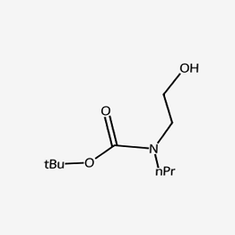 CCCN(CCO)C(=O)OC(C)(C)C